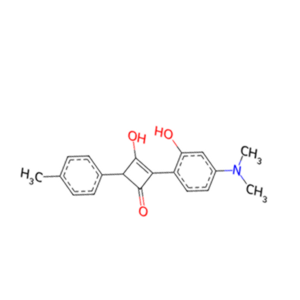 Cc1ccc(C2C(=O)C(c3ccc(N(C)C)cc3O)=C2O)cc1